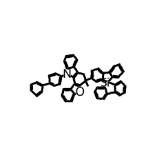 CC1(c2ccc3c(c2)[Si]2(c4ccccc4-c4ccccc42)c2ccccc2-3)Cc2c(n(-c3ccc(-c4ccccc4)cc3)c3ccccc23)-c2c1oc1ccccc21